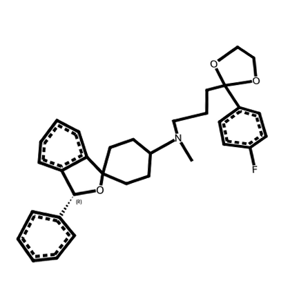 CN(CCCC1(c2ccc(F)cc2)OCCO1)C1CCC2(CC1)O[C@H](c1ccccc1)c1ccccc12